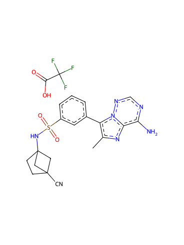 Cc1nc2c(N)ncnn2c1-c1cccc(S(=O)(=O)NC23CCC(C#N)(C2)C3)c1.O=C(O)C(F)(F)F